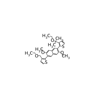 CCOCc1ccsc1-c1cc2cc(OC)c(-c3sccc3C(C)(C)OCC)cc2cc1OC